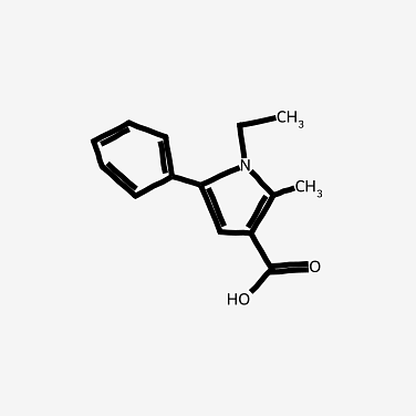 CCn1c(-c2ccccc2)cc(C(=O)O)c1C